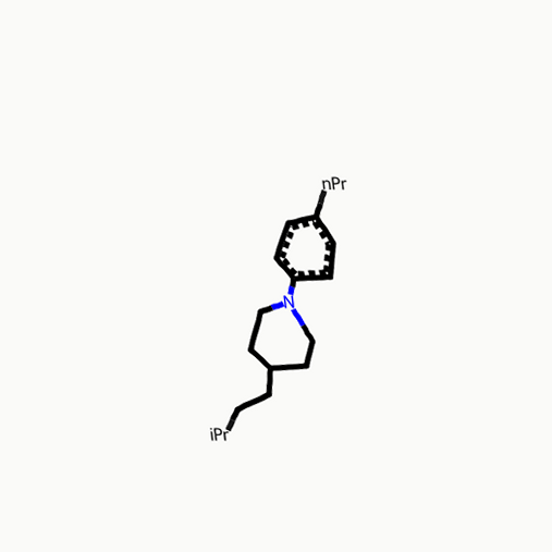 CCCc1ccc(N2CCC(CCC(C)C)CC2)cc1